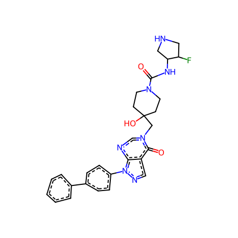 O=C(NC1CNCC1F)N1CCC(O)(Cn2cnc3c(cnn3-c3ccc(-c4ccccc4)cc3)c2=O)CC1